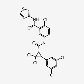 O=C(Nc1ccsc1)c1cc(NC(=O)[C@@H]2[C@@H](c3cc(Cl)cc(Cl)c3)C2(Cl)Cl)ccc1Cl